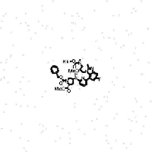 COC(=O)[C@@H]1C[C@H](Nc2cccc(-c3cc(F)cc4nc(C)n(C[C@H](CN(C)C(=O)OC(C)(C)C)OC)c34)n2)CN1C(=O)OCc1ccccc1